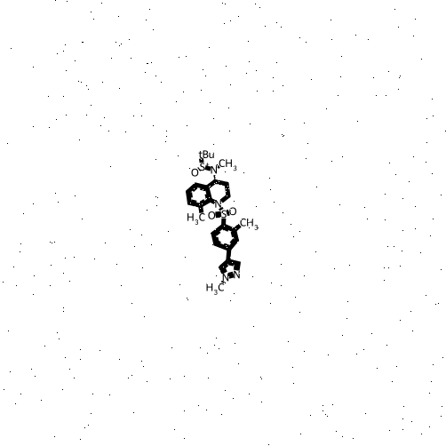 Cc1cc(-c2cnn(C)c2)ccc1S(=O)(=O)N1CC[C@@H](N(C)[S+]([O-])C(C)(C)C)c2cccc(C)c21